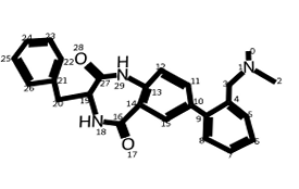 CN(C)Cc1ccccc1-c1ccc2c(c1)C(=O)NC(Cc1ccccc1)C(=O)N2